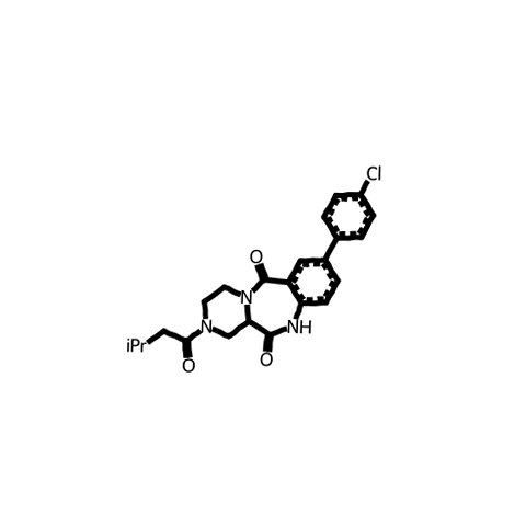 CC(C)CC(=O)N1CCN2C(=O)c3cc(-c4ccc(Cl)cc4)ccc3NC(=O)C2C1